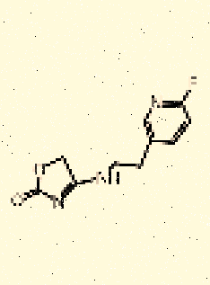 O=C1N=C(NCCc2ccc(F)nc2)CO1